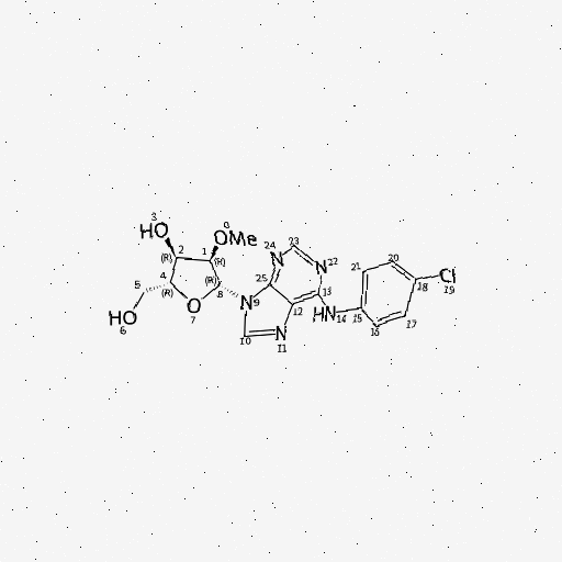 CO[C@@H]1[C@H](O)[C@@H](CO)O[C@H]1n1cnc2c(Nc3ccc(Cl)cc3)ncnc21